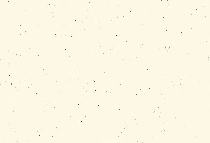 COc1cc2c(cc1OC)C1CC(=O)/C(=C/C(C)C)CN1CC2